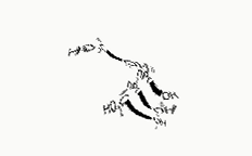 CCCO.CCCO.O=C(O)O.O=C(O)O